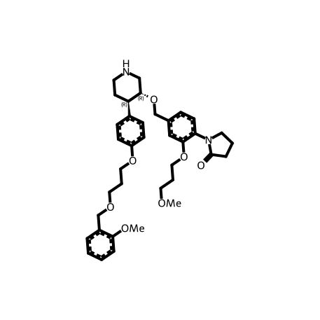 COCCCOc1cc(CO[C@H]2CNCC[C@@H]2c2ccc(OCCCOCc3ccccc3OC)cc2)ccc1N1CCCC1=O